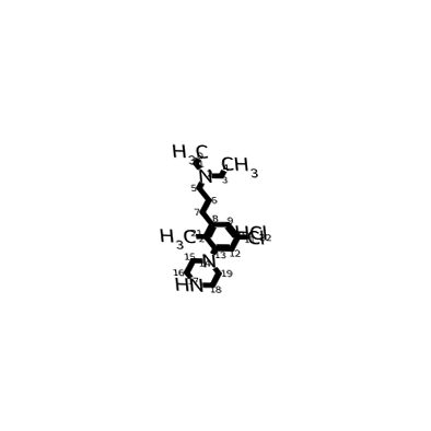 CCN(CC)CCCc1cc(Cl)cc(N2CCNCC2)c1C.Cl